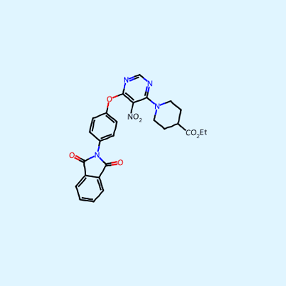 CCOC(=O)C1CCN(c2ncnc(Oc3ccc(N4C(=O)c5ccccc5C4=O)cc3)c2[N+](=O)[O-])CC1